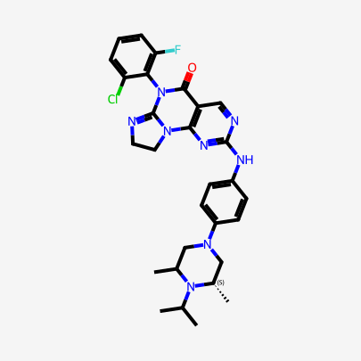 CC(C)N1C(C)CN(c2ccc(Nc3ncc4c(n3)N3CCN=C3N(c3c(F)cccc3Cl)C4=O)cc2)C[C@@H]1C